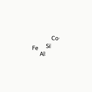 [Al].[Co].[Fe].[Si]